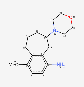 COc1ccc(N)c2c1CCCC(N1CCOCC1)C2